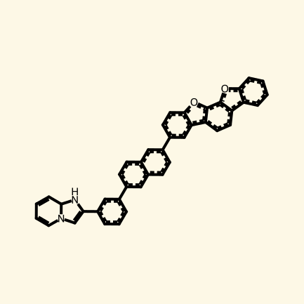 C1=CC2NC(c3cccc(-c4ccc5cc(-c6ccc7oc8c(ccc9c%10ccccc%10oc98)c7c6)ccc5c4)c3)=CN2C=C1